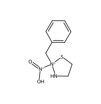 O=[N+](O)[N+]1(Cc2ccccc2)NCCS1